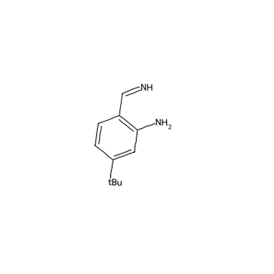 CC(C)(C)c1ccc(C=N)c(N)c1